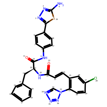 Nc1nnc(-c2ccc(NC(=O)[C@H](Cc3ccccc3)NC(=O)C=Cc3cc(Cl)ccc3-n3cnnn3)cc2)s1